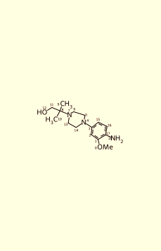 COc1cc(N2CCN(C(C)(C)CO)CC2)ccc1N